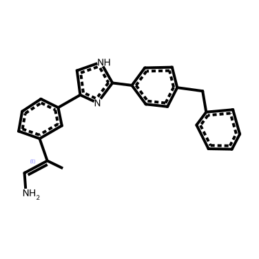 C/C(=C\N)c1cccc(-c2c[nH]c(-c3ccc(Cc4ccccc4)cc3)n2)c1